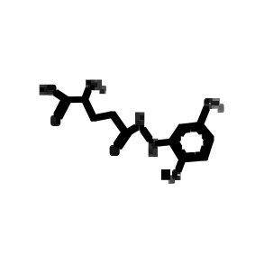 Cc1ccc(C)c(NNC(=O)CCC(N)C(=O)O)c1